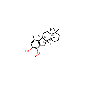 COc1c(O)cc(C)c2c1C[C@H]1[C@@]3(C)CCCC(C)(C)[C@@H]3CC[C@]21C